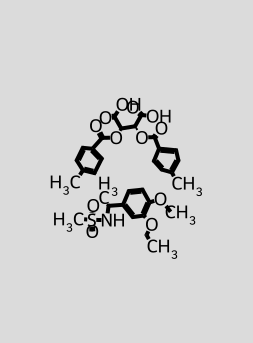 CCOc1cc([C@H](C)NS(C)(=O)=O)ccc1OC.Cc1ccc(C(=O)O[C@@H](C(=O)O)[C@@H](OC(=O)c2ccc(C)cc2)C(=O)O)cc1